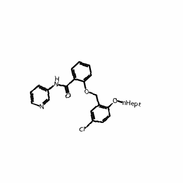 CCCCCCCOc1ccc(Cl)cc1COc1ccccc1C(=O)Nc1cccnc1